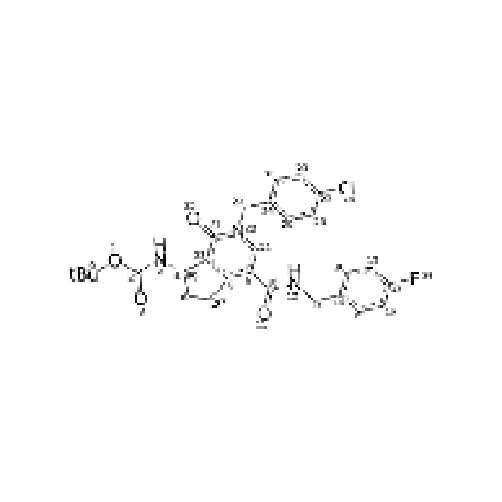 CC(C)(C)OC(=O)N[C@H]1CSc2c(C(=O)NCc3ccc(F)cc3)cn(Cc3ccc(Cl)cc3)c(=O)c21